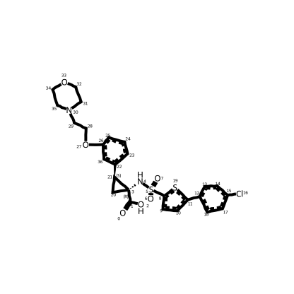 O=C(O)[C@@]1(NS(=O)(=O)c2ccc(-c3ccc(Cl)cc3)s2)C[C@H]1c1cccc(OCCN2CCOCC2)c1